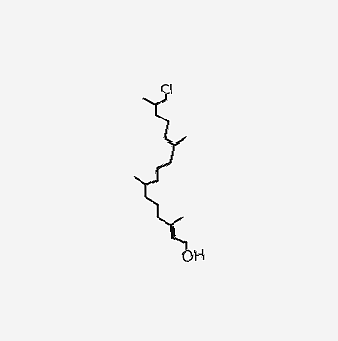 C/C(=C\CO)CCCC(C)CCCC(C)CCCC(C)CCl